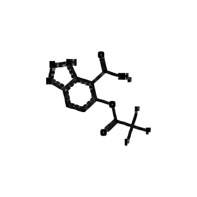 NC(=O)c1c(OC(=O)C(F)(F)F)ccc2nn[nH]c12